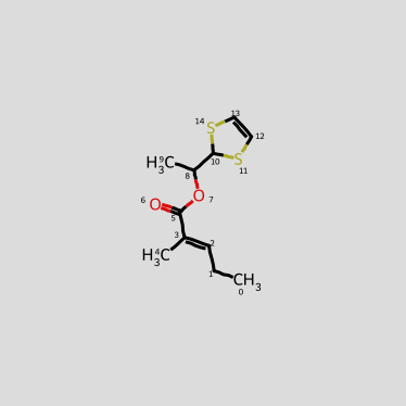 CCC=C(C)C(=O)OC(C)C1SC=CS1